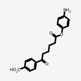 Nc1ccc(OC(=O)CCCCC(=O)c2ccc(C(=O)O)cc2)cc1